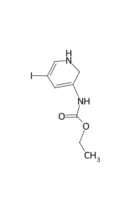 CCOC(=O)NC1=CC(I)=CNC1